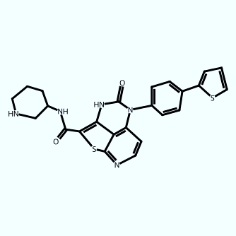 O=C(NC1CCCNC1)c1sc2nccc3c2c1NC(=O)N3c1ccc(-c2cccs2)cc1